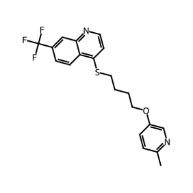 Cc1ccc(OCCCCSc2ccnc3cc(C(F)(F)F)ccc23)cn1